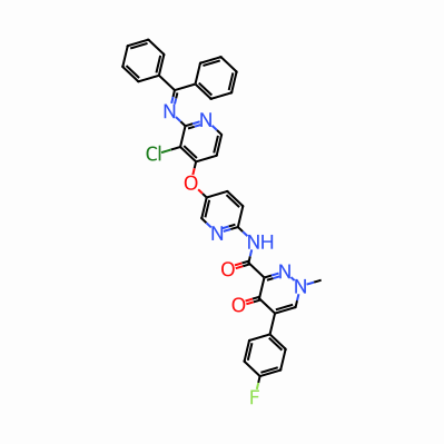 Cn1cc(-c2ccc(F)cc2)c(=O)c(C(=O)Nc2ccc(Oc3ccnc(N=C(c4ccccc4)c4ccccc4)c3Cl)cn2)n1